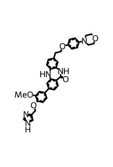 COc1cc(-c2ccc3c(c2)Nc2ccc(CCOc4ccc(N5CCOCC5)cc4)cc2NC3=O)ccc1OCc1c[nH]cn1